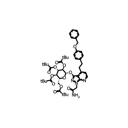 CC(C)(C)C(=O)OC[C@H]1O[C@@H](Oc2nn(CC(N)=O)c3nccc(CCc4ccc(OCc5ccccc5)cc4)c23)[C@H](OC(=O)C(C)(C)C)[C@@H](OC(=O)C(C)(C)C)[C@@H]1OC(=O)C(C)(C)C